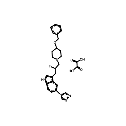 FC(Cc1c[nH]c2ccc(-n3cnnc3)cc12)CN1CCC(OCc2ccccc2)CC1.O=C(O)C(=O)O